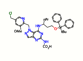 CCCC(CCO[Si](c1ccccc1)(c1ccccc1)C(C)(C)C)Nc1nc(NC(=O)O)nc2cnn(Cc3ncc(CCl)cc3OC)c12